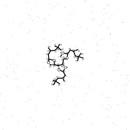 CC(CC1O[C@H]([C@@H]2COC(CC(C)CC(C)(C)C)O2)[C@@H]([C@H]2COC(CC(C)CC(C)(C)C)O2)O1)CC(C)(C)C